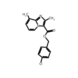 Cc1nc2c(C)cccn2c1C(=O)OCc1ccc(Cl)cc1